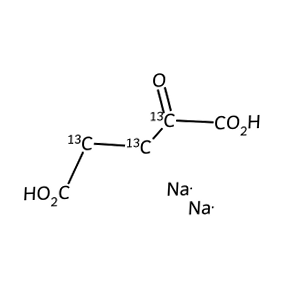 O=C(O)[13CH2][13CH2][13C](=O)[13C](=O)O.[Na].[Na]